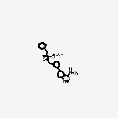 CC(C)Nc1ncnc2ccc(-c3cccc(Cc4scc(Cc5ccccc5)c4OC(=O)O)c3)cc12